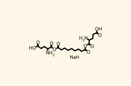 NC(CCC(=O)O)C(=O)OC(=O)CCCCCCCC(=O)OC(=O)C(N)CCC(=O)O.[NaH]